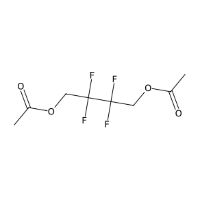 CC(=O)OCC(F)(F)C(F)(F)COC(C)=O